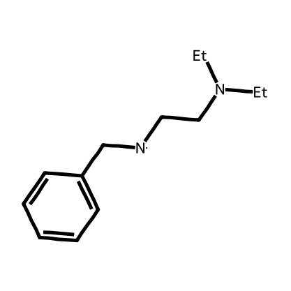 CCN(CC)CC[N]Cc1ccccc1